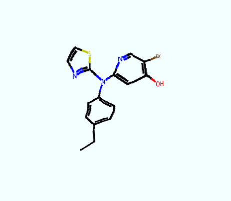 CCc1ccc(N(c2cc(O)c(Br)cn2)c2nccs2)cc1